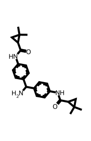 CC1(C)CC1C(=O)Nc1ccc(C(N)c2ccc(NC(=O)C3CC3(C)C)cc2)cc1